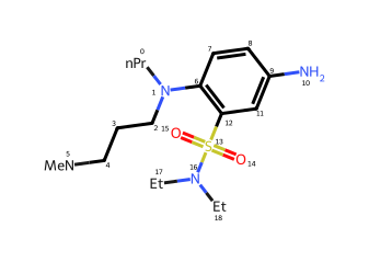 CCCN(CCCNC)c1ccc(N)cc1S(=O)(=O)N(CC)CC